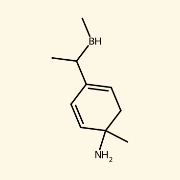 CBC(C)C1=CCC(C)(N)C=C1